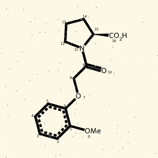 COc1ccccc1OCC(=O)N1CCC[C@H]1C(=O)O